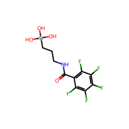 O=C(NCCC[Si](O)(O)O)c1c(F)c(F)c(F)c(F)c1F